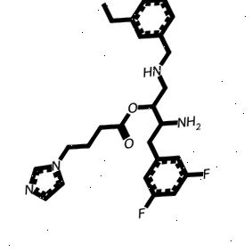 CCc1cccc(CNCC(OC(=O)CCCn2ccnc2)C(N)Cc2cc(F)cc(F)c2)c1